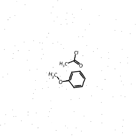 CC(=O)Cl.COc1ccccc1